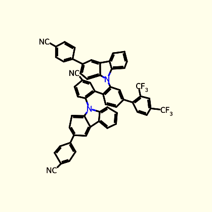 N#Cc1ccc(-c2ccc3c(c2)c2ccccc2n3-c2ccc(C#N)cc2-c2ccc(-c3ccc(C(F)(F)F)cc3C(F)(F)F)cc2-n2c3ccccc3c3cc(-c4ccc(C#N)cc4)ccc32)cc1